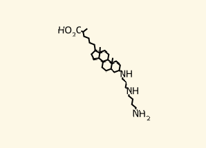 CC(CCCCC1CCC2C3CCC4CC(NCCCNCCCCN)CCC4(C)C3CCC12C)C(=O)O